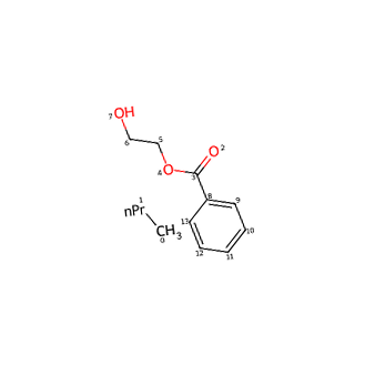 CCCC.O=C(OCCO)c1ccccc1